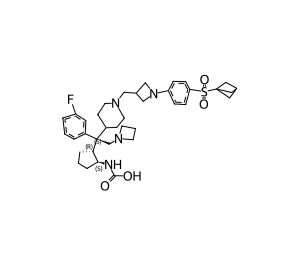 O=C(O)N[C@H]1CCC[C@@H]1[C@](CN1CCC1)(c1cccc(F)c1)C1CCN(CC2CN(c3ccc(S(=O)(=O)C45CC(C4)C5)cc3)C2)CC1